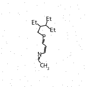 C\C=N/C=C\C=P\CC(CC)C(CC)CC